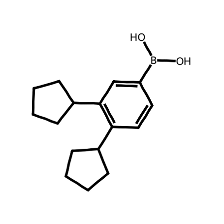 OB(O)c1ccc(C2CCCC2)c(C2CCCC2)c1